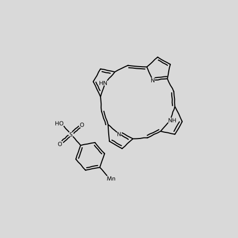 C1=Cc2cc3ccc(cc4nc(cc5ccc(cc1n2)[nH]5)C=C4)[nH]3.O=S(=O)(O)c1cc[c]([Mn])cc1